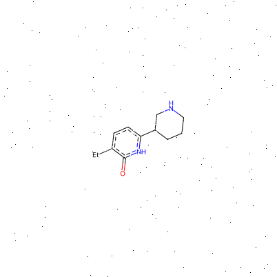 CCc1ccc(C2CCCNC2)[nH]c1=O